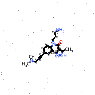 Cc1[nH]nc2c1c(=O)n(CCCN)c1ccc(C#CCN(C)C)cc21